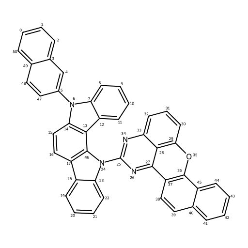 c1ccc2cc(-n3c4ccccc4c4c3ccc3c5ccccc5n(-c5nc6c7c(cccc7n5)Oc5c-6ccc6ccccc56)c34)ccc2c1